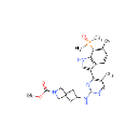 CC(C)(C)OC(=O)N1CC2(CC(Nc3ncc(C(F)(F)F)c(-c4c[nH]c5c(P(C)(C)=O)c(C#N)ccc45)n3)C2)C1